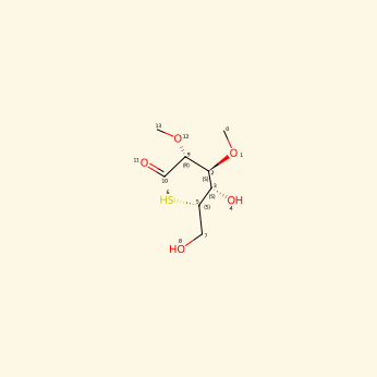 CO[C@@H]([C@H](O)[C@@H](S)CO)[C@H](C=O)OC